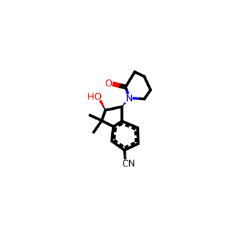 CC1(C)c2cc(C#N)ccc2[C@@H](N2CCCCC2=O)[C@@H]1O